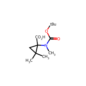 CN(C(=O)OC(C)(C)C)C1(C(=O)O)CC1(C)C